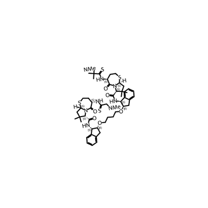 CNCC(=S)N[C@H]1CCS[C@H]2CC(C)(C)[C@@H](C(=O)N[C@H]3c4ccccc4C[C@H]3OCCCCO[C@@H]3Cc4ccccc4[C@@H]3NC(=O)[C@H]3N4C(=O)[C@@H](NC(=S)C(C)(C)NC)CCS[C@H]4CC3(C)C)N2C1=O